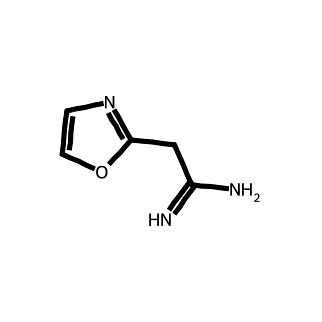 N=C(N)Cc1ncco1